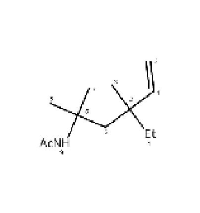 C=CC(C)(CC)CC(C)(C)NC(C)=O